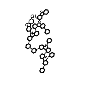 CC1C=Cc2c(oc3ccc(-n4c5ccc(-c6cccc(-c7cccc(-c8ccc9c(c8)c8c(-c%10cccc%11c%12cc(-c%13ccccc%13)ccc%12n(-c%12ccccc%12)c%10%11)cccc8n9-c8ccccc8)c7)c6)cc5c5cccc(-c6cccc7c6c6cc(-c8ccccc8)ccc6n7-c6ccc7sc8ccccc8c7c6)c54)cc23)C1